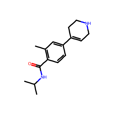 Cc1cc(C2=CCNCC2)ccc1C(=O)NC(C)C